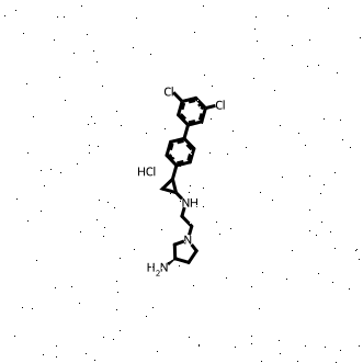 Cl.N[C@@H]1CCN(CCNC2CC2c2ccc(-c3cc(Cl)cc(Cl)c3)cc2)C1